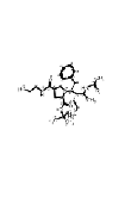 CCC[C@@H](C(C)NC(C)=O)[C@H](Cc1ccccc1)N1CC(C(=O)NCCO)CC1C(=O)OC(C)(C)C